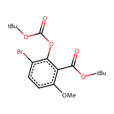 COc1ccc(Br)c(OC(=O)OC(C)(C)C)c1C(=O)OC(C)(C)C